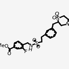 COC(=O)c1ccc(CNS(=O)(=O)CCc2cccc(CC3CNCCS3(=O)=O)c2)c(F)c1